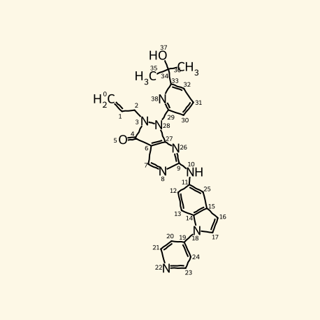 C=CCn1c(=O)c2cnc(Nc3ccc4c(ccn4-c4ccncc4)c3)nc2n1-c1cccc(C(C)(C)O)n1